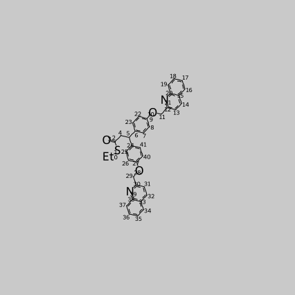 CCSC(=O)CC(c1ccc(OCc2ccc3ccccc3n2)cc1)c1ccc(OCc2ccc3ccccc3n2)cc1